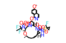 COc1ccc2c(O[C@@H]3C[C@H]4C(=O)N[C@]5(C(=O)NS(=O)(=O)C6(CF)CC6)C[C@H]5/C=C\CC[C@@H](C)O[C@@H](C)[C@H](N(C(=O)O)C(C)(C)C(C)(F)F)C(=O)N4C3)nccc2c1